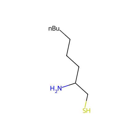 CCCCCCCC(N)CS